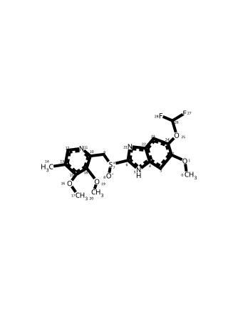 COc1cc2[nH]c([S+]([O-])Cc3ncc(C)c(OC)c3OC)nc2cc1OC(F)F